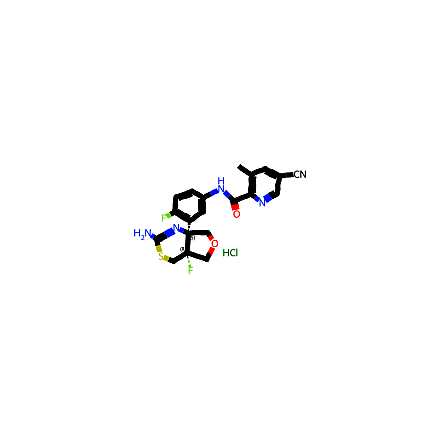 Cc1cc(C#N)cnc1C(=O)Nc1ccc(F)c([C@]23COC[C@@]2(F)CSC(N)=N3)c1.Cl